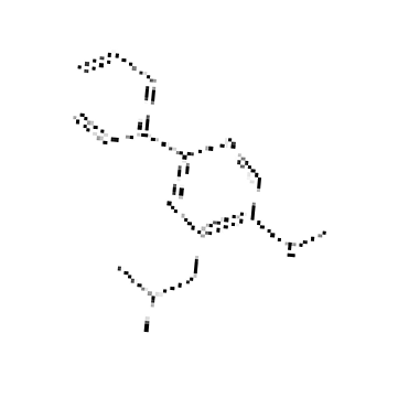 CC(C)Cc1cc(-c2ccccc2)ncc1SI